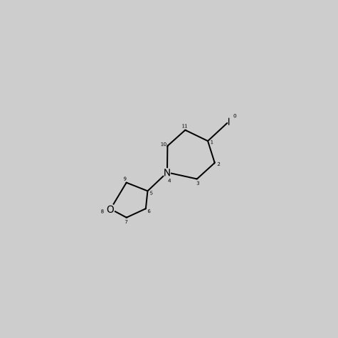 IC1CCN(C2CCOC2)CC1